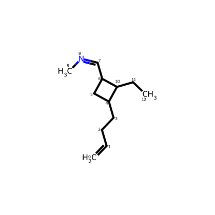 C=CCCC1CC(/C=N\C)C1CC